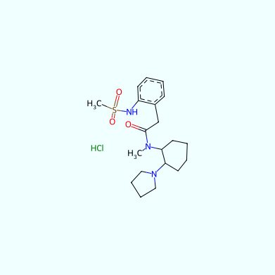 CN(C(=O)Cc1ccccc1NS(C)(=O)=O)C1CCCCC1N1CCCC1.Cl